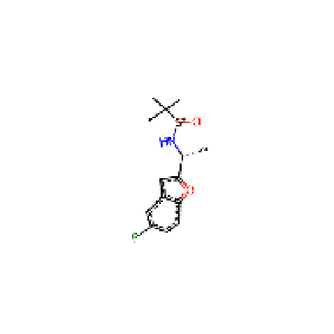 C[C@@H](N[S+]([O-])C(C)(C)C)c1cc2cc(F)ccc2o1